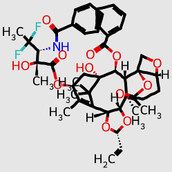 C=C[C@@H]1O[C@@H]2C3=C(C)[C@@H](OC(=O)[C@](C)(O)[C@@H](NC(=O)c4ccccc4)C(C)(F)F)C[C@@](O)([C@@H](OC(=O)c4ccccc4)[C@H]4[C@@](C)(CC[C@H]5OC[C@]54OC(C)=O)[C@@H]2O1)C3(C)C